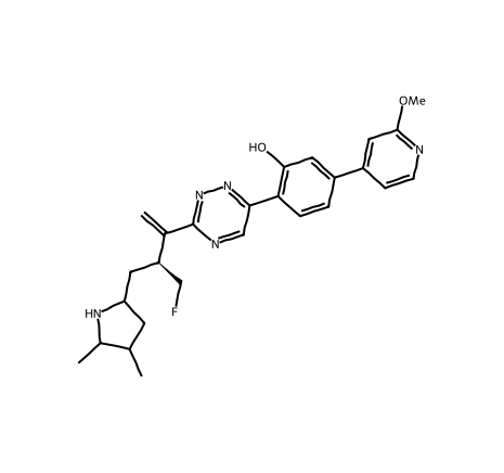 C=C(c1ncc(-c2ccc(-c3ccnc(OC)c3)cc2O)nn1)[C@@H](CF)CC1CC(C)C(C)N1